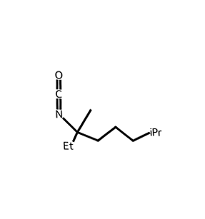 CCC(C)(CCCC(C)C)N=C=O